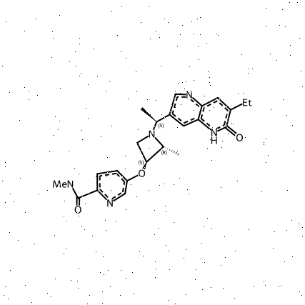 CCc1cc2ncc([C@H](C)N3C[C@H](Oc4ccc(C(=O)NC)nc4)[C@H]3C)cc2[nH]c1=O